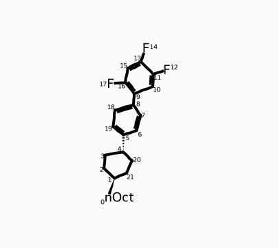 CCCCCCCC[C@H]1CC[C@H](c2ccc(-c3cc(F)c(F)cc3F)cc2)CC1